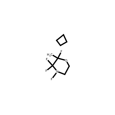 C1CCC1.CC1(F)OCCN(F)C1(F)F